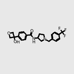 O=C(NC1CCN(Cc2ccc(C(F)(F)F)cc2)C1)c1ccc(C2(O)COC2)cc1